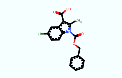 Cc1c(C(=O)O)c2cc(Cl)ccc2n1C(=O)OCc1ccccc1